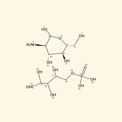 CC(=O)N[C@H]1C(O)O[C@H](CO)[C@@H](O)[C@@H]1O.O=CC(O)C(O)C(O)COP(=O)(O)O